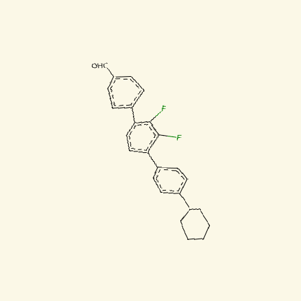 O=Cc1ccc(-c2ccc(-c3ccc(C4CCCCC4)cc3)c(F)c2F)cc1